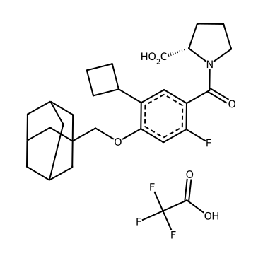 O=C(O)C(F)(F)F.O=C(O)[C@@H]1CCCN1C(=O)c1cc(C2CCC2)c(OCC23CC4CC(CC(C4)C2)C3)cc1F